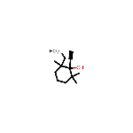 C#CC1(O)C(C)(C)CCCC1(C)CC(=O)O